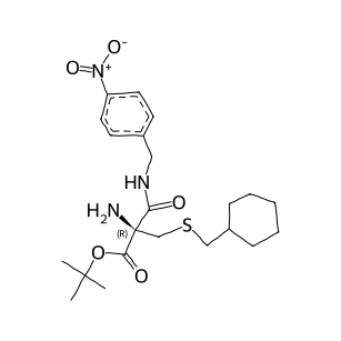 CC(C)(C)OC(=O)[C@@](N)(CSCC1CCCCC1)C(=O)NCc1ccc([N+](=O)[O-])cc1